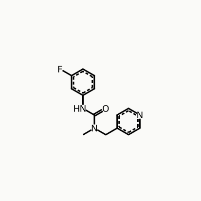 CN(Cc1ccncc1)C(=O)Nc1cccc(F)c1